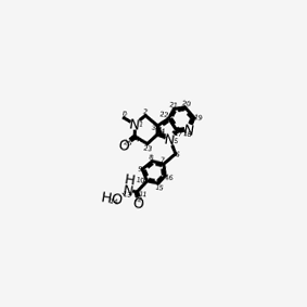 CN1Cc2c(n(Cc3ccc(C(=O)NO)cc3)c3ncccc23)CC1=O